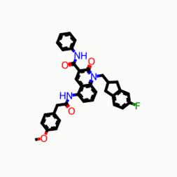 COc1ccc(CC(=O)Nc2cccc3c2cc(C(=O)Nc2ccccc2)c(=O)n3CC2Cc3ccc(F)cc3C2)cc1